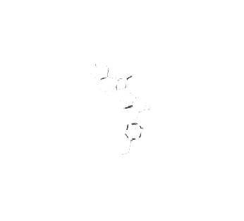 COCC1=C(C(=O)O)N2C(=O)C(NC(=O)C(N)c3ccc(CO)cc3)[C@H]2SC1